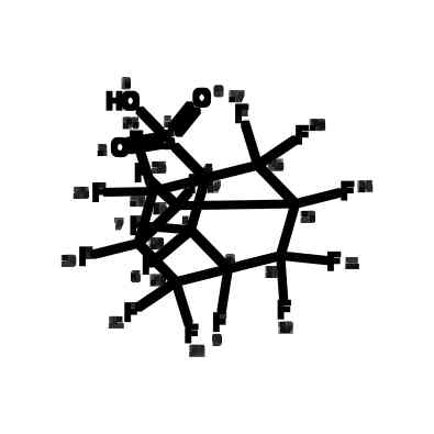 O=S(=O)(O)C12C(F)(F)C3(F)C(F)(F)C(F)(C(F)(F)C(F)(C3(F)F)C1(F)F)C2(F)F